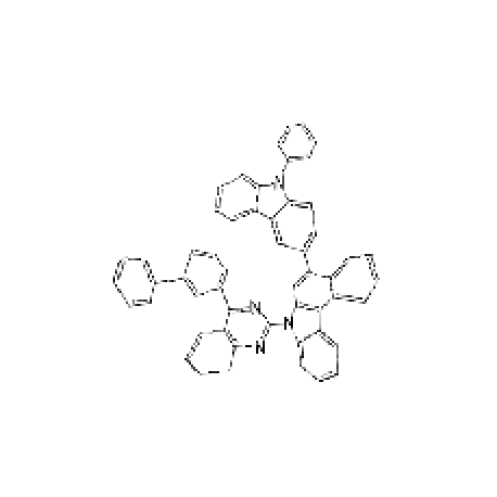 C1=Cc2c(nc(-n3c4ccccc4c4c5ccccc5c(-c5ccc6c(c5)c5ccccc5n6-c5ccccc5)cc43)nc2-c2cccc(-c3ccccc3)c2)CC1